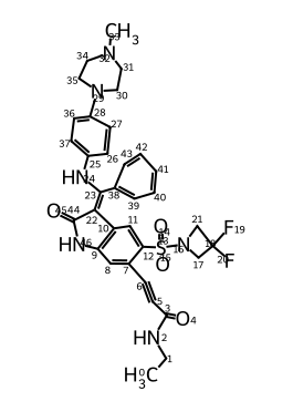 CCNC(=O)C#Cc1cc2c(cc1S(=O)(=O)N1CC(F)(F)C1)/C(=C(/Nc1ccc(N3CCN(C)CC3)cc1)c1ccccc1)C(=O)N2